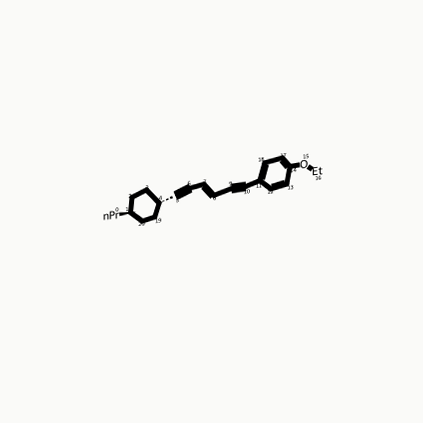 CCC[C@H]1CC[C@H](C#C/C=C/C#Cc2ccc(OCC)cc2)CC1